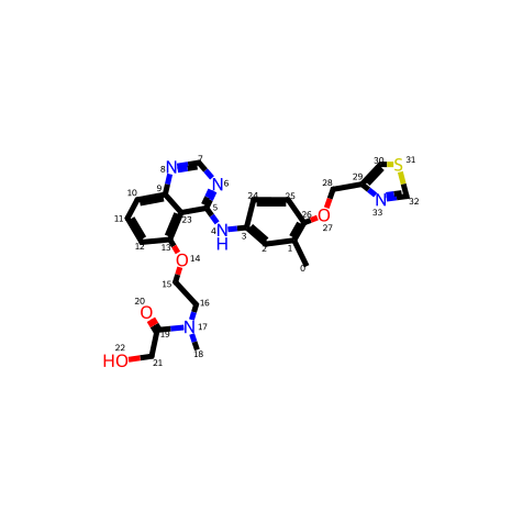 Cc1cc(Nc2ncnc3cccc(OCCN(C)C(=O)CO)c23)ccc1OCc1cscn1